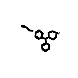 CCCO.c1ccc(C(c2ccccc2)N2CCNCC2)cc1